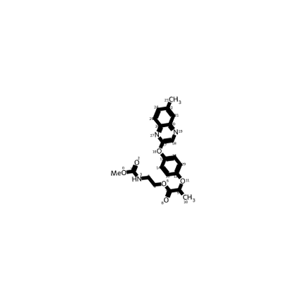 COC(=O)NCCOC(=O)C(C)Oc1ccc(Oc2cnc3cc(C)ccc3n2)cc1